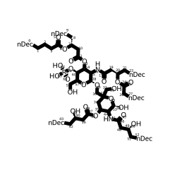 CCCCCCCCCCCCCC(=O)O[C@H](CCCCCCCCCCC)CC(=O)OC1C(NC(=O)C[C@@H](CCCCCCCCCCC)OC(=O)CCCCCCCCCCC)[C@H](OCC2(CO)CC(OC(=O)C[C@H](O)CCCCCCCCCCC)C(NC(=O)C[C@H](O)CCCCCCCCCCC)[C@@H](O)O2)OC(CO)[C@H]1OP(=O)(O)O